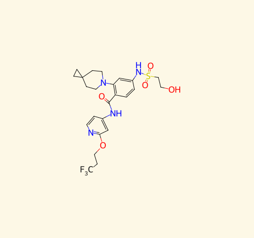 O=C(Nc1ccnc(OCCC(F)(F)F)c1)c1ccc(NS(=O)(=O)CCO)cc1N1CCC2(CC1)CC2